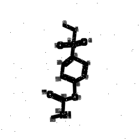 CCS(=O)(=O)c1ccc(OC(=O)NC)cc1